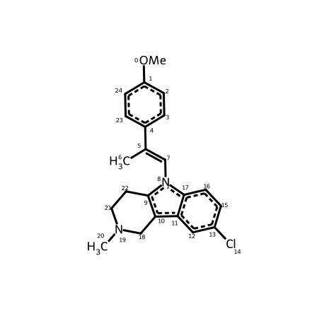 COc1ccc(/C(C)=C/n2c3c(c4cc(Cl)ccc42)CN(C)CC3)cc1